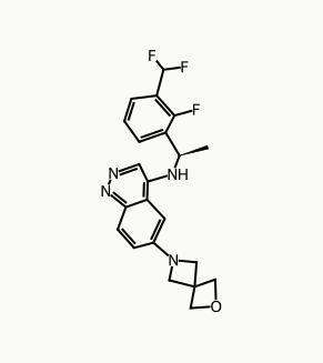 C[C@@H](Nc1cnnc2ccc(N3CC4(COC4)C3)cc12)c1cccc(C(F)F)c1F